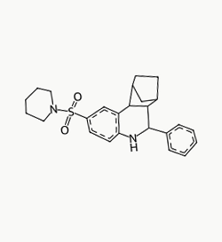 O=S(=O)(c1ccc2c(c1)C1C3CCC(C3)C1C(c1ccccc1)N2)N1CCCCC1